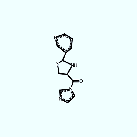 O=C(C1CSC(c2cccnc2)N1)n1ccnc1